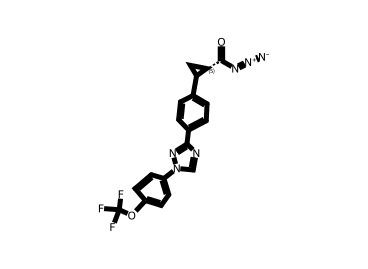 [N-]=[N+]=NC(=O)[C@H]1CC1c1ccc(-c2ncn(-c3ccc(OC(F)(F)F)cc3)n2)cc1